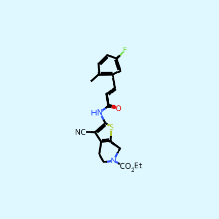 CCOC(=O)N1CCc2c(sc(NC(=O)C=Cc3cc(F)ccc3C)c2C#N)C1